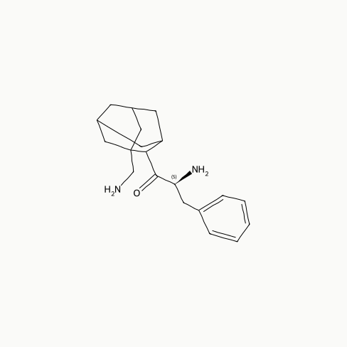 NCC12CC3CC(CC(C3)C1C(=O)[C@@H](N)Cc1ccccc1)C2